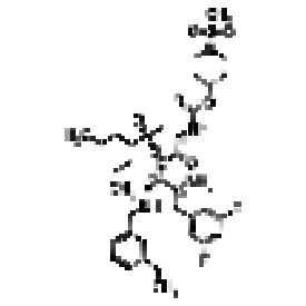 CCCC(CCC)S(=O)(=O)C[C@H](NC(=O)OC1CCN(S(C)(=O)=O)CC1)C(=O)O[C@H](CNCc1cccc(CC)c1)[C@@H](N)Cc1cc(F)cc(F)c1